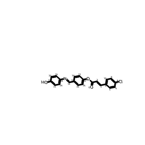 O=C(C=Cc1ccc(Cl)cc1)Oc1ccc(/C=N/c2ccc(O)cc2)cc1